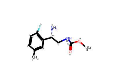 Cc1ccc(F)c([C@H](N)CNC(=O)OC(C)(C)C)c1